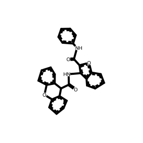 O=C(Nc1ccccc1)c1oc2ccccc2c1NC(=O)C1c2ccccc2Oc2ccccc21